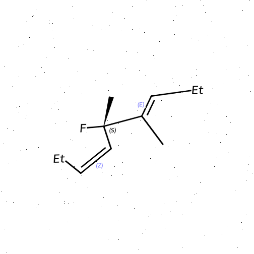 CC/C=C\[C@](C)(F)/C(C)=C/CC